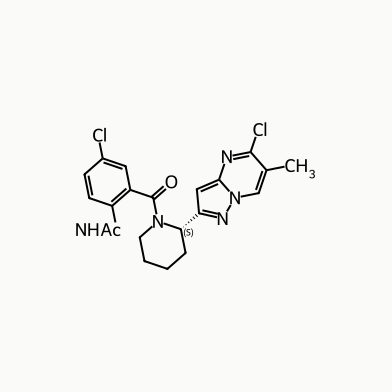 CC(=O)Nc1ccc(Cl)cc1C(=O)N1CCCC[C@H]1c1cc2nc(Cl)c(C)cn2n1